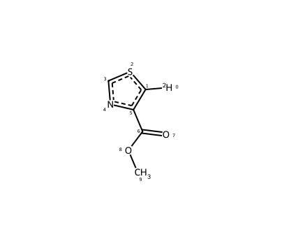 [2H]c1scnc1C(=O)OC